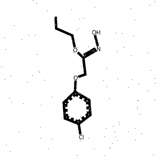 CCCOC(COc1ccc(Cl)cc1)=NO